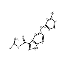 CC(N)OC(=O)c1c[nH]c2ncc(Oc3cccc(Cl)c3)nc12